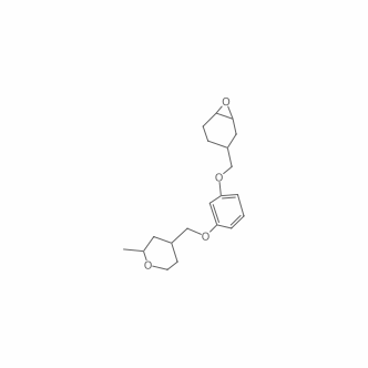 CC1CC(COc2cccc(OCC3CCC4OC4C3)c2)CCO1